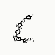 Cn1cc(-c2cc3c(N4CCN(c5ncc(COCc6ccc(F)cc6)cn5)CC4)ncnn3c2)cn1